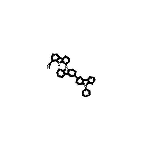 N#Cc1cccc2c1sc1c(-n3c4ccccc4c4cc(-c5ccc6c(c5)c5ccccc5n6-c5ccccc5)ccc43)cccc12